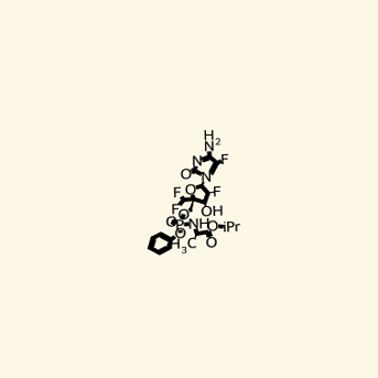 CC(C)OC(=O)[C@H](C)NP(=O)(OC[C@@]1(C(F)F)O[C@@H](n2cc(F)c(N)nc2=O)[C@H](F)[C@@H]1O)Oc1ccccc1